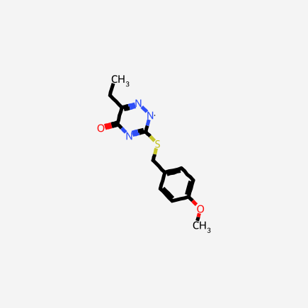 CCC1=N[N]C(SCc2ccc(OC)cc2)=NC1=O